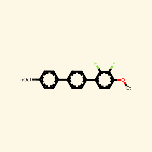 CCCCCCCCc1ccc(-c2ccc(-c3ccc(OCC)c(F)c3F)cc2)cc1